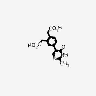 Cc1ncc(-c2ccc(CC(=O)O)c(CC(=O)O)c2)c(=O)[nH]1